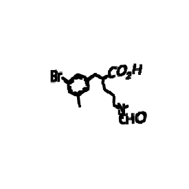 Cc1cc(Br)cc(CC(CCCN(C)C=O)C(=O)O)c1